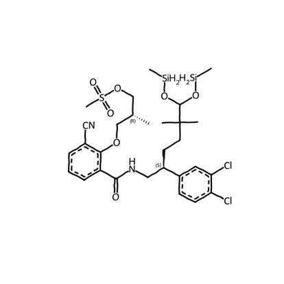 C[SiH2]OC(O[SiH2]C)C(C)(C)CC[C@H](CNC(=O)c1cccc(C#N)c1OC[C@@H](C)COS(C)(=O)=O)c1ccc(Cl)c(Cl)c1